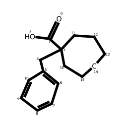 O=C(O)C1(Cc2ccccc2)CCCCCC1